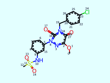 COc1nn(-c2cccc(NS(C)(=O)=O)c2)c(=O)n(Cc2ccc(Cl)cc2)c1=O